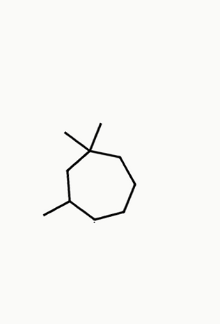 CC1[CH]CCCC(C)(C)C1